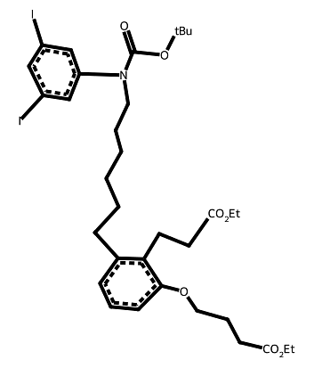 CCOC(=O)CCCOc1cccc(CCCCCCN(C(=O)OC(C)(C)C)c2cc(I)cc(I)c2)c1CCC(=O)OCC